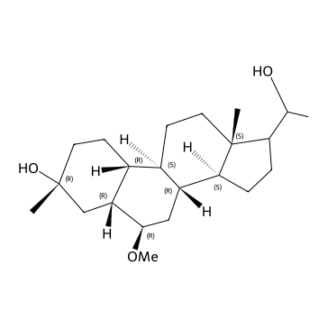 CO[C@@H]1C[C@@H]2[C@H](CC[C@]3(C)C(C(C)O)CC[C@@H]23)[C@H]2CC[C@@](C)(O)C[C@H]21